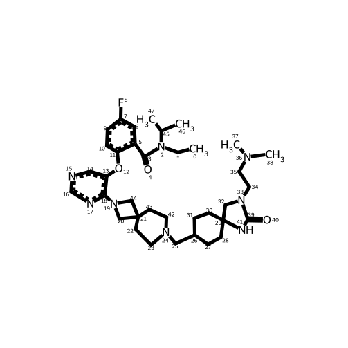 CCN(C(=O)c1cc(F)ccc1Oc1cncnc1N1CC2(CCN(CC3CCC4(CC3)CN(CCN(C)C)C(=O)N4)CC2)C1)C(C)C